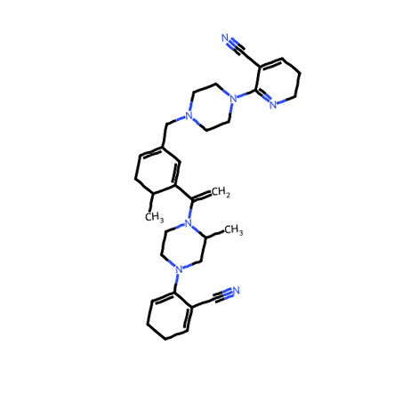 C=C(C1=CC(CN2CCN(C3=NCCC=C3C#N)CC2)=CCC1C)N1CCN(C2=CCCC=C2C#N)CC1C